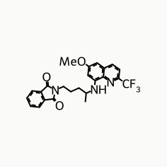 COc1cc(NC(C)CCCN2C(=O)c3ccccc3C2=O)c2nc(C(F)(F)F)ccc2c1